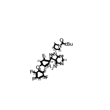 CC(C)(C)C(=O)N1CC[C@@H](n2nc(-c3ccc(Oc4c(F)c(F)cc(F)c4F)cc3F)c3c(N)ncnc32)C1